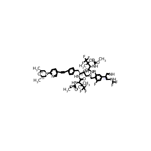 COC(=O)NC(C(=O)N[C@@H](Cc1ccc(C#Cc2ccc(N3C[C@@H](C)O[C@@H](C)C3)nc2)cc1)[C@@H](O)CN(Cc1c(F)cc(/C(C=N)=C/NC(F)F)cc1F)NC(=O)[C@@H](NC(=O)OC)C(C)(C)C(F)(F)F)C(C)(C)C(F)(F)F